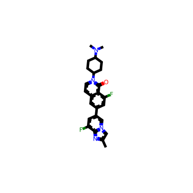 Cc1cn2cc(-c3cc(F)c4c(=O)n(C5CCC(N(C)C)CC5)ccc4c3)cc(F)c2n1